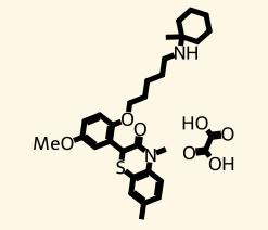 COc1ccc(OCCCCCNC2(C)CCCCC2)c(C2Sc3cc(C)ccc3N(C)C2=O)c1.O=C(O)C(=O)O